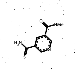 CNC(=O)c1cncc(C(N)=S)c1